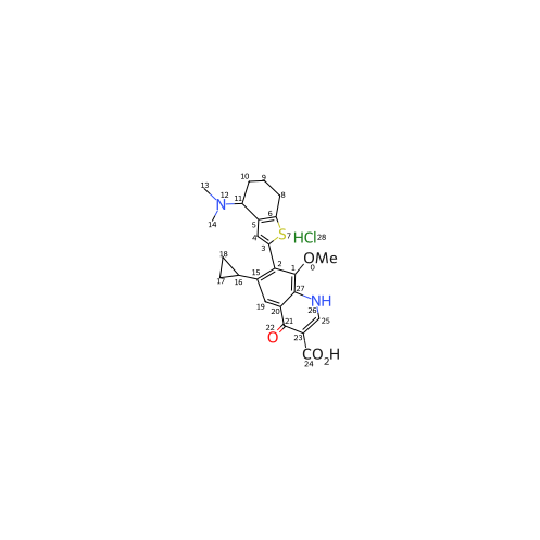 COc1c(-c2cc3c(s2)CCCC3N(C)C)c(C2CC2)cc2c(=O)c(C(=O)O)c[nH]c12.Cl